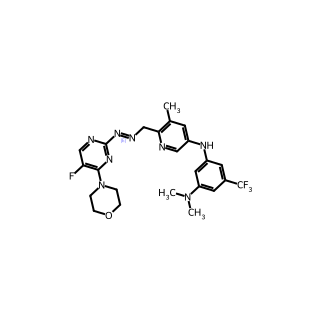 Cc1cc(Nc2cc(N(C)C)cc(C(F)(F)F)c2)cnc1C/N=N/c1ncc(F)c(N2CCOCC2)n1